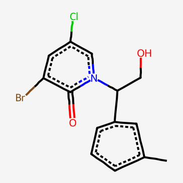 Cc1cccc(C(CO)n2cc(Cl)cc(Br)c2=O)c1